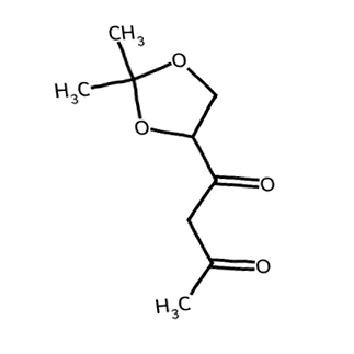 CC(=O)CC(=O)C1COC(C)(C)O1